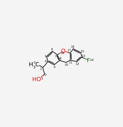 CC(CO)c1ccc2c(c1)Cc1cc(F)ccc1O2